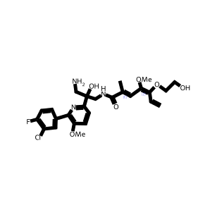 C=C/C(OCCO)=C(\C=C(/C)C(=O)NCC(O)(CN)c1ccc(OC)c(-c2ccc(F)c(Cl)c2)n1)OC